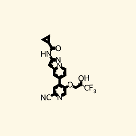 N#Cc1cc(-c2ccn3nc(NC(=O)C4CC4)cc3c2)c(OC[C@H](O)C(F)(F)F)cn1